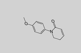 COc1ccc(N2CCC=CC2=O)cc1